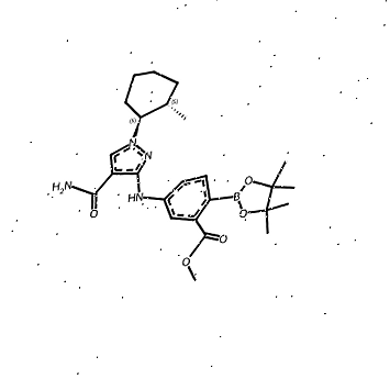 COC(=O)c1cc(Nc2nn([C@H]3CCCC[C@@H]3C)cc2C(N)=O)ccc1B1OC(C)(C)C(C)(C)O1